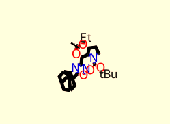 CCO[C@H](C)OC(c1noc(C23CC4CC(CC(C4)C2)C3)n1)C1CCCN1C(=O)OC(C)(C)C